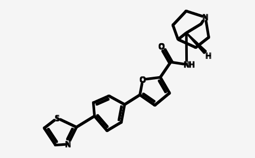 O=C(N[C@H]1CN2CCC1CC2)c1ccc(-c2ccc(-c3nccs3)cc2)o1